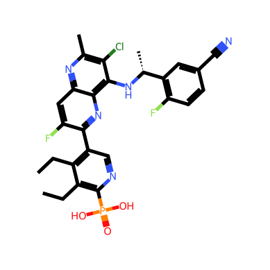 CCc1c(-c2nc3c(N[C@H](C)c4cc(C#N)ccc4F)c(Cl)c(C)nc3cc2F)cnc(P(=O)(O)O)c1CC